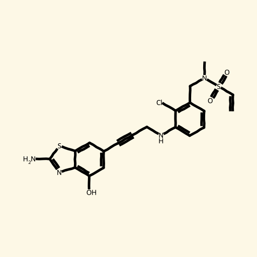 C=CS(=O)(=O)N(C)Cc1cccc(NCC#Cc2cc(O)c3nc(N)sc3c2)c1Cl